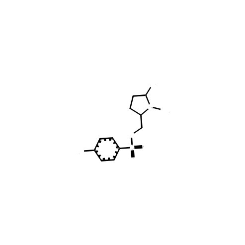 COC1CCC(COS(=O)(=O)c2ccc(C)cc2)N1C